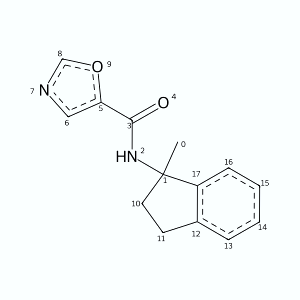 CC1(NC(=O)c2cnco2)CCc2ccccc21